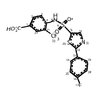 O=C(O)c1ccc(NS(=O)(=O)c2cnc(-c3ccc(F)cc3)s2)c(C(F)(F)F)c1